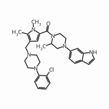 Cc1c(CN2CCN(c3ccccc3Cl)CC2)cc(C(=O)N2CCN(c3ccc4cc[nH]c4c3)CC2C)n1C